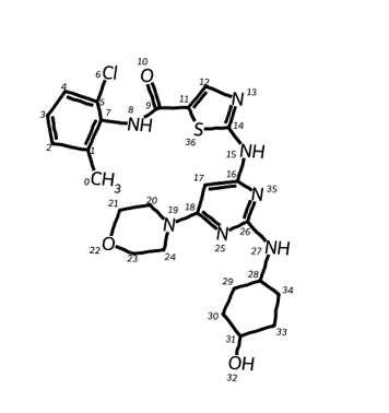 Cc1cccc(Cl)c1NC(=O)c1cnc(Nc2cc(N3CCOCC3)nc(NC3CCC(O)CC3)n2)s1